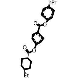 CCCc1ccc(OC(=O)c2ccc(OC(=O)[C@H]3CC[C@H](CC)CC3)cc2)cc1